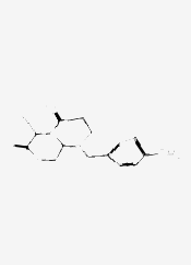 COc1ccc(CN2CCC(=O)N3C(C)C(=O)NCC23)cc1